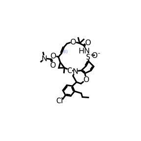 CCCc1cc(Cl)ccc1C1COc2ccc3cc2N(C1)CC1(C)CC1C(OC(=O)N(C)C)/C=C/COC(C)(C)C(=O)N[S+]3[O-]